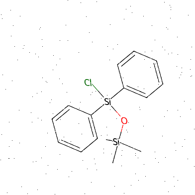 C[Si](C)(C)O[Si](Cl)(c1ccccc1)c1ccccc1